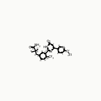 CCOc1ccc(-c2cc(=O)[nH]c(-c3cc(CC(C)(C)C(N)=O)ccc3C(F)(F)F)n2)cn1